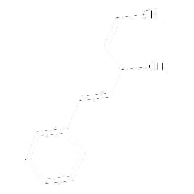 C/C=C\C(C)/C=C/c1ccccc1